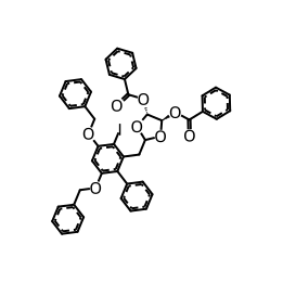 O=C(O[C@H]1OC(Cc2c(I)c(OCc3ccccc3)cc(OCc3ccccc3)c2-c2ccccc2)O[C@@H]1OC(=O)c1ccccc1)c1ccccc1